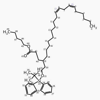 CCCCC/C=C\C/C=C\CCCCCCCCCC(CCO[Si](c1ccccc1)(c1ccccc1)C(C)(C)C)CCC(=O)OCCCCC